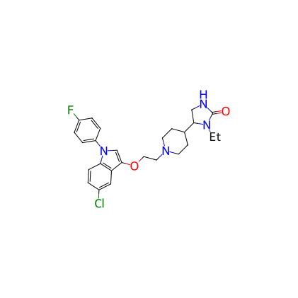 CCN1C(=O)NCC1C1CCN(CCOc2cn(-c3ccc(F)cc3)c3ccc(Cl)cc23)CC1